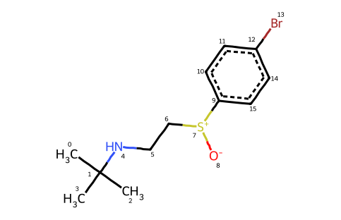 CC(C)(C)NCC[S+]([O-])c1ccc(Br)cc1